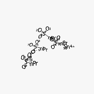 CCCS(=O)(=O)[O-].CCCS(=O)(=O)[O-].CCCS(=O)(=O)[O-].CCCS(=O)(=O)[O-].[Sn+4]